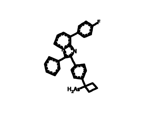 Fc1ccc(-c2cccn3c(-c4ccccc4)c(-c4ccc(C5([AsH2])CCC5)cc4)nc23)cc1